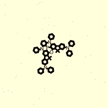 CC1(C)c2cc(N(c3ccccc3)c3ccccc3)ccc2-c2cc3c4c(c21)Oc1c2c(cc5c1C(C)(C)c1cc(N(c6ccccc6)c6ccccc6)ccc1-5)N(c1ccccc1)c1cccc(c1P42)N3c1ccccc1